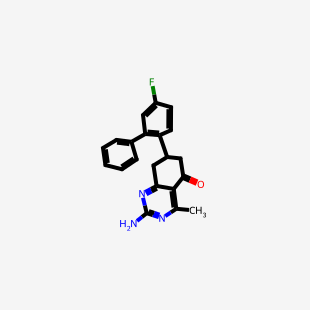 Cc1nc(N)nc2c1C(=O)CC(c1ccc(F)cc1-c1ccccc1)C2